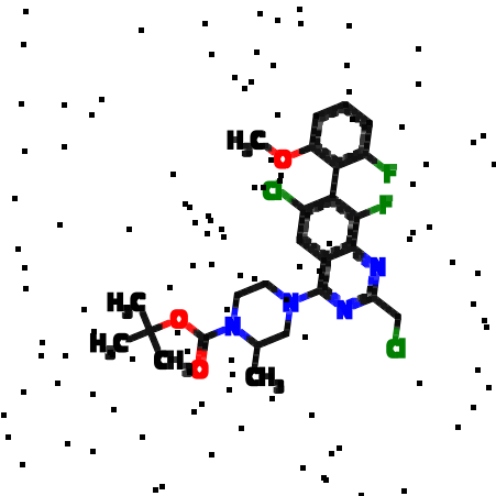 COc1cccc(F)c1-c1c(Cl)cc2c(N3CCN(C(=O)OC(C)(C)C)C(C)C3)nc(CCl)nc2c1F